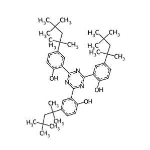 CC(C)(C)CC(C)(C)c1ccc(O)c(-c2nc(-c3cc(C(C)(C)CC(C)(C)C)ccc3O)nc(-c3cc(C(C)(C)CC(C)(C)C)ccc3O)n2)c1